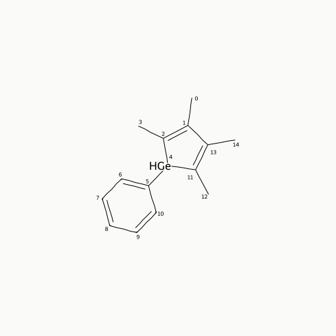 CC1=[C](C)[GeH]([c]2ccccc2)[C](C)=C1C